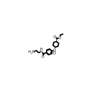 CCOC(=O)[C@H]1CC[C@H](Oc2ccc(C(=O)NCCN)cc2)CC1.Cl